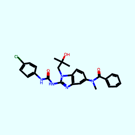 CN(C(=O)c1ccccc1)c1ccc2c(c1)nc(NC(=O)Nc1ccc(Cl)cc1)n2CC(C)(C)O